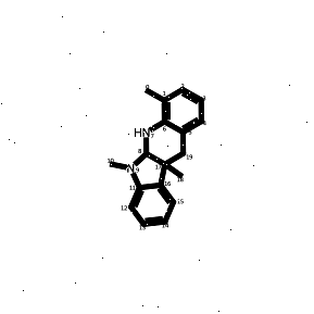 Cc1cccc2c1NC1N(C)c3ccccc3C1(C)C2